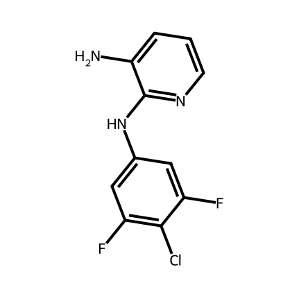 Nc1cccnc1Nc1cc(F)c(Cl)c(F)c1